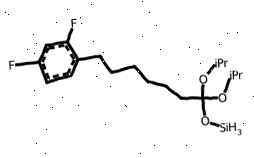 CC(C)OC(CCCCCCc1ccc(F)cc1F)(O[SiH3])OC(C)C